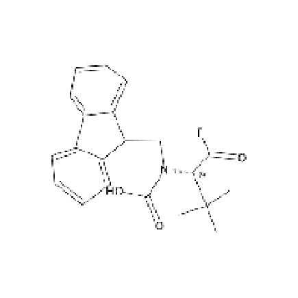 CC(C)(C)[C@@H](C(=O)F)N(CC1c2ccccc2-c2ccccc21)C(=O)O